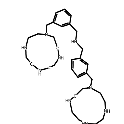 c1cc(CNCc2cccc(CN3CCNCCNCCNCC3)c2)cc(CN2CCNCCNCCNCC2)c1